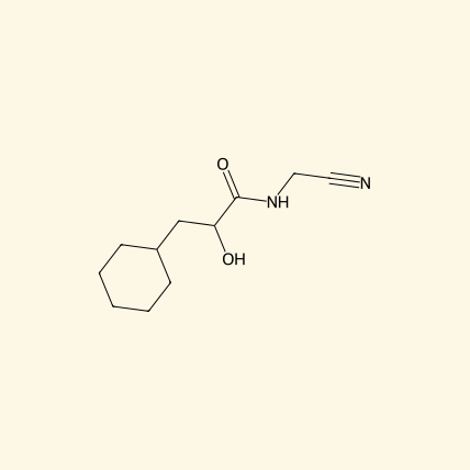 N#CCNC(=O)C(O)CC1CCCCC1